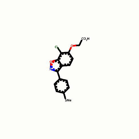 CSc1ccc(-c2noc3c(Cl)c(OCC(=O)O)ccc23)cc1